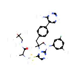 CC(NS(=O)(=O)c1cnc2n1C(C)(Cc1ccc(-c3cncnc3N)cc1)C(=O)N2c1cc(Cl)cc(Cl)c1)C(=O)NCC(C)(C)O